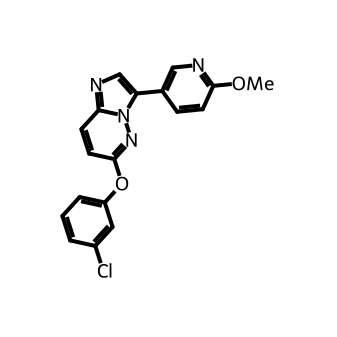 COc1ccc(-c2cnc3ccc(Oc4cccc(Cl)c4)nn23)cn1